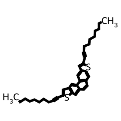 CCCCCCCCC#Cc1cc2cc3c(ccc4cc5sc(C#CCCCCCCCC)cc5cc43)cc2s1